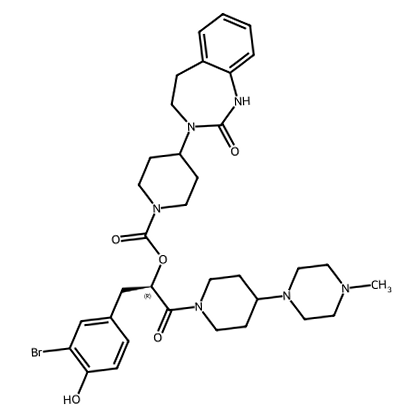 CN1CCN(C2CCN(C(=O)[C@@H](Cc3ccc(O)c(Br)c3)OC(=O)N3CCC(N4CCc5ccccc5NC4=O)CC3)CC2)CC1